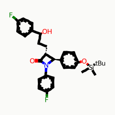 CC(C)(C)[Si](C)(C)Oc1ccc([C@@H]2[C@@H](CC[C@H](O)c3ccc(F)cc3)C(=O)N2c2ccc(F)cc2)cc1